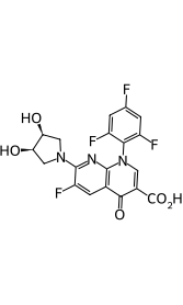 O=C(O)c1cn(-c2c(F)cc(F)cc2F)c2nc(N3C[C@@H](O)[C@@H](O)C3)c(F)cc2c1=O